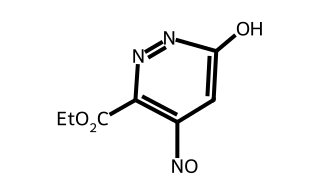 CCOC(=O)c1nnc(O)cc1N=O